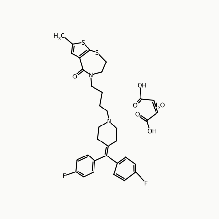 Cc1cc2c(s1)SCCN(CCCCN1CCC(=C(c3ccc(F)cc3)c3ccc(F)cc3)CC1)C2=O.O.O=C(O)/C=C\C(=O)O